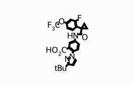 CC(C)(C)c1ccn(-c2ccc(NC(=O)C3(c4ccc(OC(F)(F)F)cc4F)CC3)cc2C(=O)O)n1